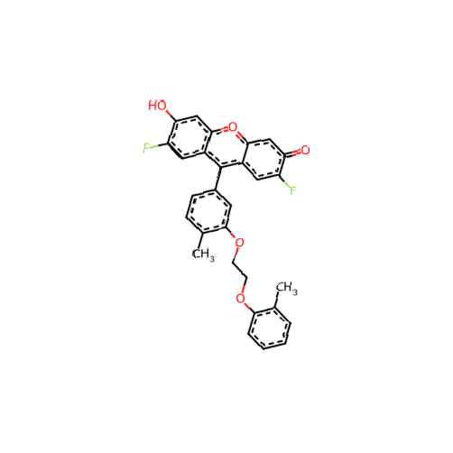 Cc1ccccc1OCCOc1cc(-c2c3cc(F)c(=O)cc-3oc3cc(O)c(F)cc23)ccc1C